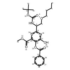 CCCCOCC(NC(=O)OC(C)(C)C)c1nc(O)c(OC(=O)c2ccccc2)c(C(=O)OC)n1